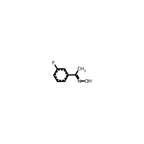 C/C(=N\O)c1cccc(F)c1